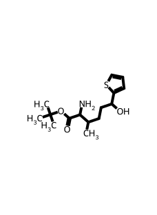 CC(CCC(O)c1cccs1)C(N)C(=O)OC(C)(C)C